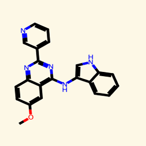 COc1ccc2nc(-c3cccnc3)nc(Nc3c[nH]c4ccccc34)c2c1